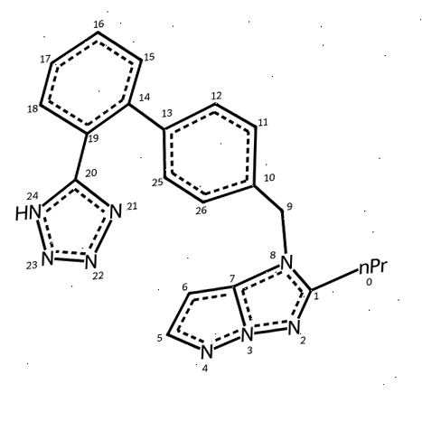 CCCc1nn2nccc2n1Cc1ccc(-c2ccccc2-c2nnn[nH]2)cc1